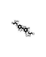 CC(=O)O[C@H](CCl)COc1c(Cl)cc(C(C)(C)c2ccc(OC[C@H](CF)OC(C)=O)cc2)cc1Cl